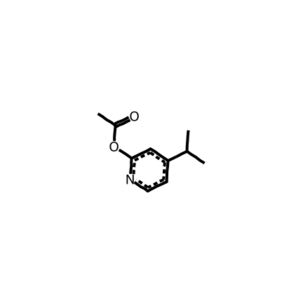 CC(=O)Oc1cc(C(C)C)ccn1